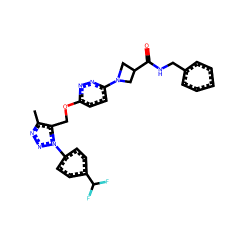 Cc1nnn(-c2ccc(C(F)F)cc2)c1COc1ccc(N2CC(C(=O)NCc3ccccc3)C2)nn1